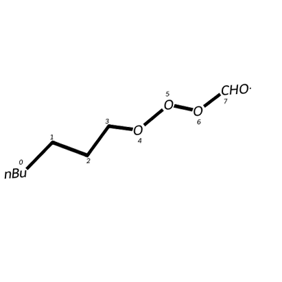 CCCCCCCOOO[C]=O